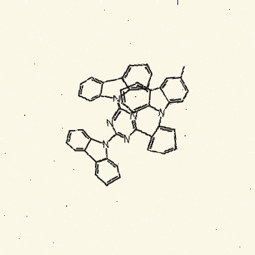 Cc1ccc2c(c1)c1ccccc1n2-c1ccccc1-c1nc(-n2c3ccccc3c3ccccc32)nc(-n2c3ccccc3c3ccccc32)n1